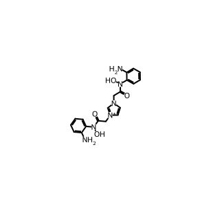 Nc1ccccc1N(O)C(=O)Cn1cc[n+](CC(=O)N(O)c2ccccc2N)c1